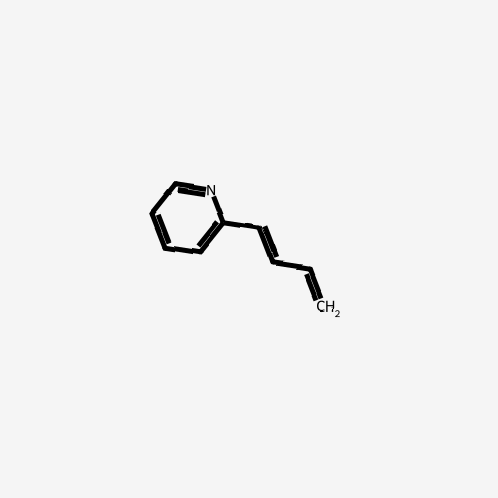 C=CC=Cc1ccccn1